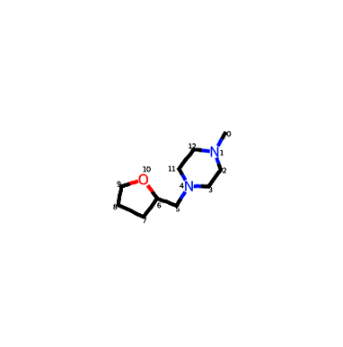 CN1CCN(CC2CCCO2)CC1